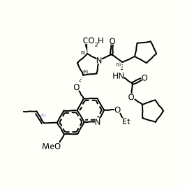 C/C=C/c1cc2c(O[C@@H]3C[C@@H](C(=O)O)N(C(=O)[C@@H](NC(=O)OC4CCCC4)C4CCCC4)C3)cc(OCC)nc2cc1OC